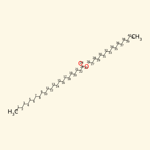 CCCCCCCCCCCCCCCCCCCCCCCC(=O)OCCCCCCCCCCCCCCCC